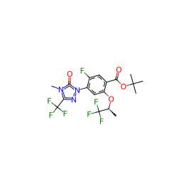 C[C@H](Oc1cc(-n2nc(C(F)(F)F)n(C)c2=O)c(F)cc1C(=O)OC(C)(C)C)C(F)(F)F